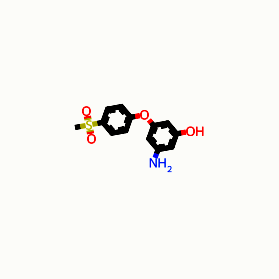 CS(=O)(=O)c1ccc(Oc2cc(N)cc(O)c2)cc1